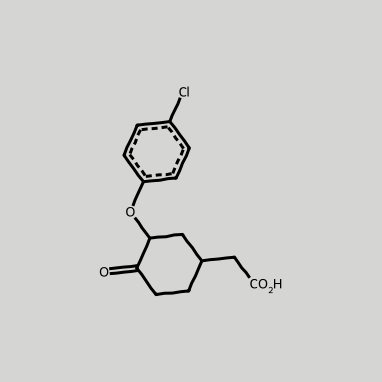 O=C(O)CC1CCC(=O)C(Oc2ccc(Cl)cc2)C1